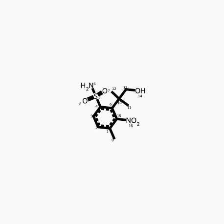 Cc1ccc(S(N)(=O)=O)c(C(C)(C)CO)c1[N+](=O)[O-]